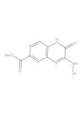 COC(=O)c1ccc2[nH]c(=O)c(NC(C)C)nc2c1